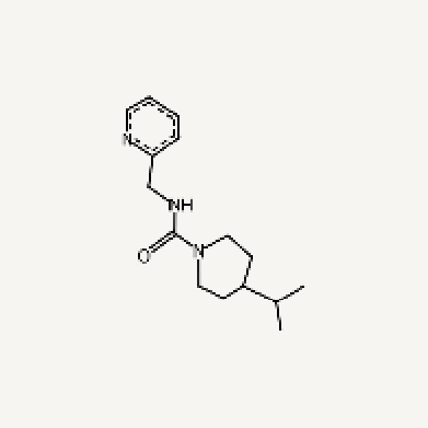 CC(C)C1CCN(C(=O)NCc2ccccn2)CC1